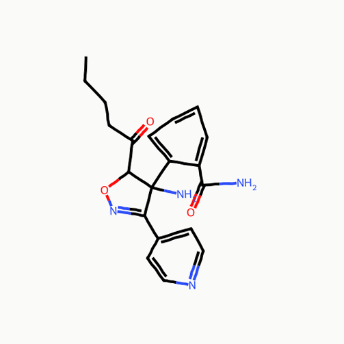 CCCCC(=O)C1ON=C(c2ccncc2)C1(N)c1ccccc1C(N)=O